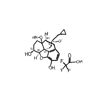 CCCOC12CC[C@H](O)[C@@H]3Oc4c(O)ccc5c4[C@@]31CC[N+]([O-])(CC1CC1)[C@@H]2C5.O=C(O)C(F)(F)F